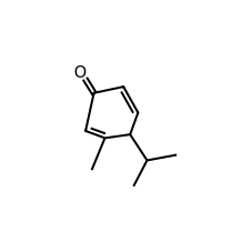 CC1=CC(=O)C=CC1C(C)C